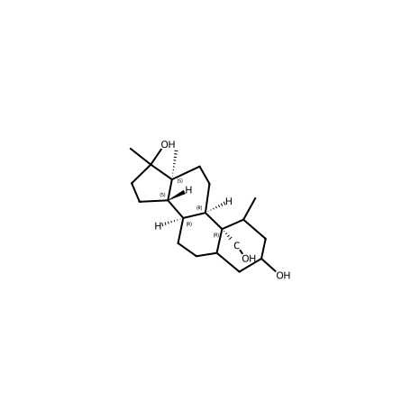 CC1CC(O)CC2CC[C@@H]3[C@@H](CC[C@@]4(C)[C@H]3CCC4(C)O)[C@@]12CO